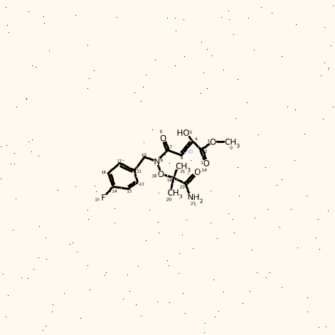 COC(=O)/C(O)=C/C(=O)N(Cc1ccc(F)cc1)OC(C)(C)C(N)=O